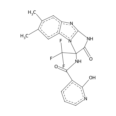 Cc1cc2nc3n(c2cc1C)C(NC(=O)c1cccnc1O)(C(F)(F)F)C(=O)N3